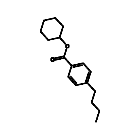 CCCCc1ccc(C(=O)OC2CCCCC2)cc1